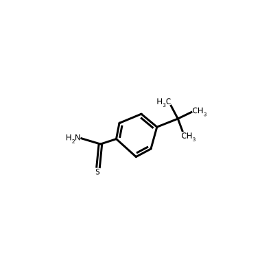 CC(C)(C)c1ccc(C(N)=S)cc1